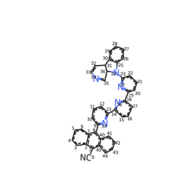 N#Cc1c2ccccc2c(-c2cccc(-c3cccc(-c4cccc(N5c6ccccc6C6C=CN=CC65)n4)n3)n2)c2ccccc12